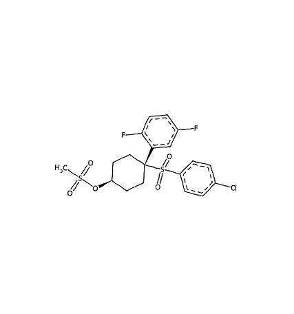 CS(=O)(=O)O[C@H]1CC[C@](c2cc(F)ccc2F)(S(=O)(=O)c2ccc(Cl)cc2)CC1